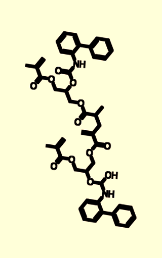 C=C(C)C(=O)OCC(COC(=O)C(C)CC(=C)C(=O)OCC(COC(=O)C(=C)C)OC(O)Nc1ccccc1-c1ccccc1)OC(=O)Nc1ccccc1-c1ccccc1